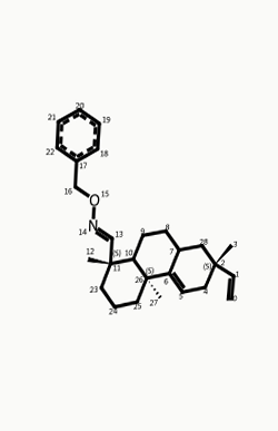 C=C[C@]1(C)CC=C2C(CCC3[C@@](C)(C=NOCc4ccccc4)CCC[C@]23C)C1